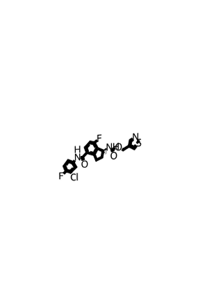 O=C(N[C@H]1CCc2c(C(=O)Nc3ccc(F)c(Cl)c3)ccc(F)c21)OCc1cnsc1